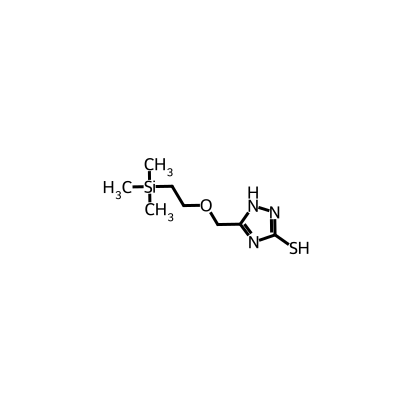 C[Si](C)(C)CCOCc1nc(S)n[nH]1